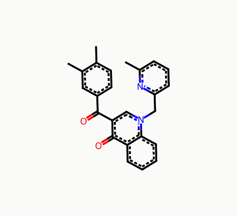 Cc1cccc(Cn2cc(C(=O)c3ccc(C)c(C)c3)c(=O)c3ccccc32)n1